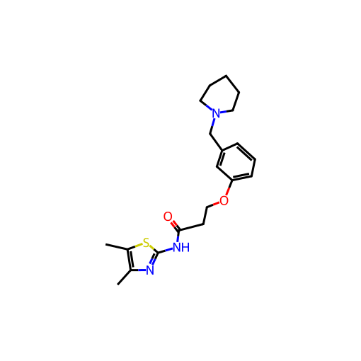 Cc1nc(NC(=O)CCOc2cccc(CN3CCCCC3)c2)sc1C